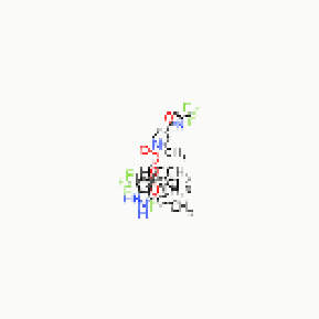 CC1CC(O[Si](C)(C)C(C)(C)C)(C2(F)NNc3c(C(F)(F)F)cc(OCOC(=O)N4CCC(c5nc(C(F)(F)F)co5)=CC4C)cc32)C1